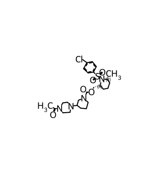 CC(=O)N1CCN(C2CCCN(C(=O)OC[C@H]3CCC[C@@H](C)N3S(=O)(=O)c3ccc(Cl)cc3)C2)CC1